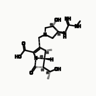 CNC(=N)N[C@H]1CN(CC2=C(C(=O)O)N3C(=O)[C@@H]([C@@H](C)O)[C@H]3[C@H]2C)C[C@@H]1O